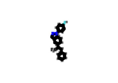 Fc1ccc(-n2ncc3cc(C(Cc4ccccc4)C(F)(F)F)ccc32)cc1